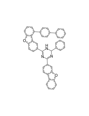 c1ccc(-c2ccc(-c3cccc4oc5ccc(C6=NC(c7ccc8c(c7)oc7ccccc78)=NC(c7ccccc7)N6)cc5c34)cc2)cc1